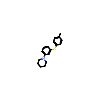 Cc1ccc(Sc2cccc(N3CCCCC3)c2)cc1